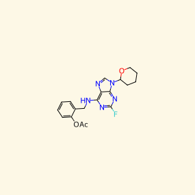 CC(=O)Oc1ccccc1CNc1nc(F)nc2c1ncn2C1CCCCO1